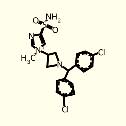 C[N+]1(C2CN(C(c3ccc(Cl)cc3)c3ccc(Cl)cc3)C2)C=NC(S(N)(=O)=O)=C1